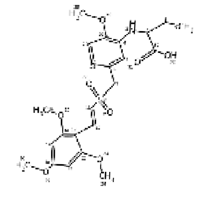 CCC(Nc1cc(CS(=O)(=O)/C=C/c2c(OC)cc(OC)cc2OC)ccc1OC)C(=O)O